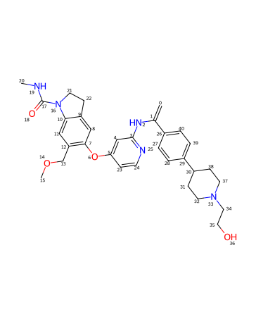 C=C(Nc1cc(Oc2cc3c(cc2COC)N(C(=O)NC)CC3)ccn1)c1ccc(C2CCN(CCO)CC2)cc1